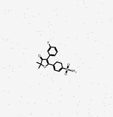 CC1(C)OC(C2=CC=C(S(N)(=O)=O)CC2)=C(c2cccc(F)c2)C1=O